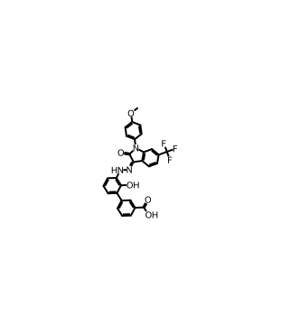 COc1ccc(N2C(=O)C(=NNc3cccc(-c4cccc(C(=O)O)c4)c3O)c3ccc(C(F)(F)F)cc32)cc1